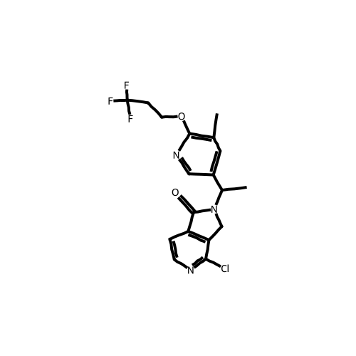 Cc1cc(C(C)N2Cc3c(ccnc3Cl)C2=O)cnc1OCCC(F)(F)F